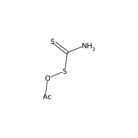 CC(=O)OSC(N)=S